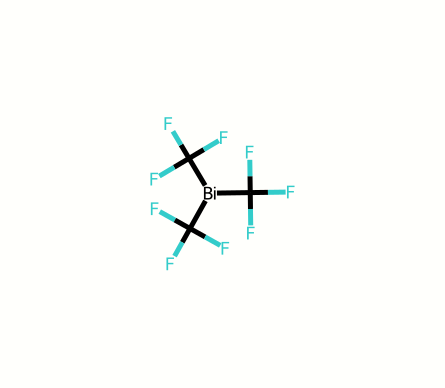 F[C](F)(F)[Bi]([C](F)(F)F)[C](F)(F)F